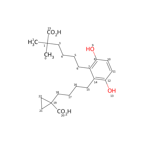 CC(C)(CCCCc1c(O)ccc(O)c1CCCCC1(C(=O)O)CC1)C(=O)O